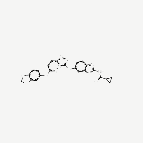 O=C(Nc1nc2ccc(Sc3nnc4ccc(Oc5ccc6c(c5)OCO6)nn34)cc2s1)C1CC1